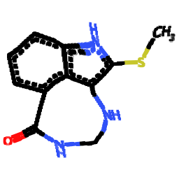 CSc1[nH]c2cccc3c2c1NCNC3=O